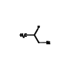 [CH2]C(F)CCC